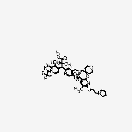 Cc1cnc(C(c2ccn3c(C(F)(F)F)nnc3c2C)C(C)(C)C(=O)O)cc1CN1CC2(CCOCC2)Oc2nc(OCCN3CCCC3)c(C)cc2S1(=O)=O